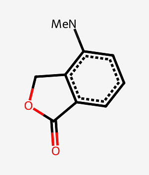 CNc1cccc2c1COC2=O